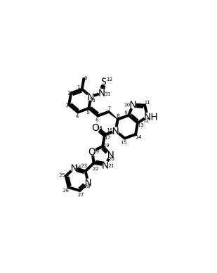 CC1=CC=C/C(=C/C[C@H]2c3nc[nH]c3CCN2C(=O)c2nnc(-c3ncccn3)o2)N1N=S